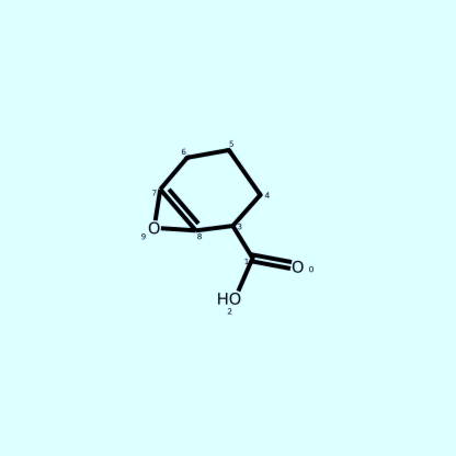 O=C(O)C1CCCC2=C1O2